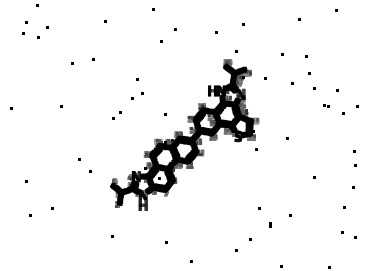 CC(C)c1nc2c(ccc3c4ccc(-c5ccc6c(c5)c5sccc5c5nc(C(C)C)[nH]c65)cc4ccc32)[nH]1